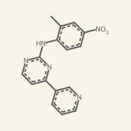 Cc1cc([N+](=O)[O-])ccc1Nc1nccc(-c2cccnc2)n1